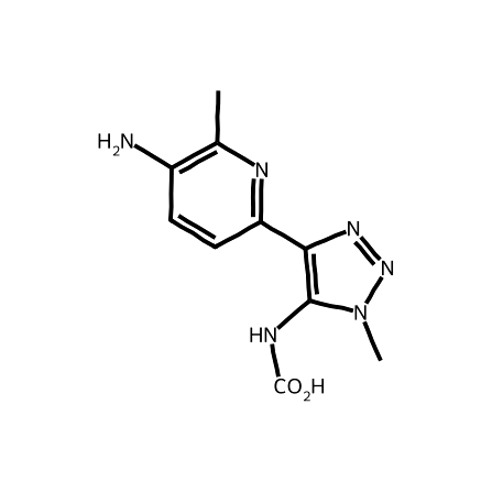 Cc1nc(-c2nnn(C)c2NC(=O)O)ccc1N